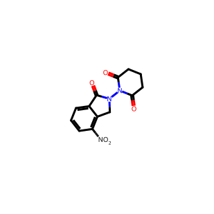 O=C1c2cccc([N+](=O)[O-])c2CN1N1C(=O)CCCC1=O